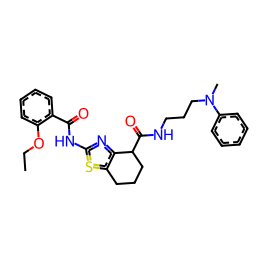 CCOc1ccccc1C(=O)Nc1nc2c(s1)CCCC2C(=O)NCCCN(C)c1ccccc1